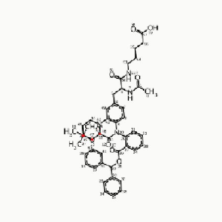 CC(=O)NC(Cc1ccc(N(C(=O)C(=O)OC(C)(C)C)c2ccccc2C(=O)OC(c2ccccc2)c2ccccc2)c(N2CCCCC2)c1)C(=O)NCCCCC(=O)O